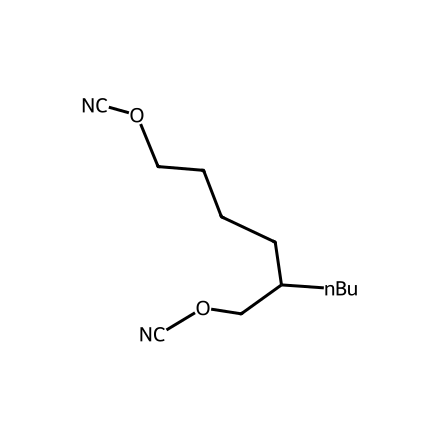 CCCCC(CCCCOC#N)COC#N